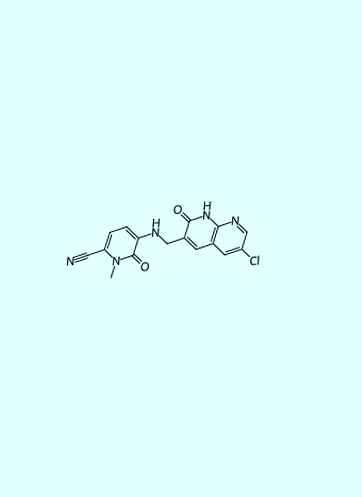 Cn1c(C#N)ccc(NCc2cc3cc(Cl)cnc3[nH]c2=O)c1=O